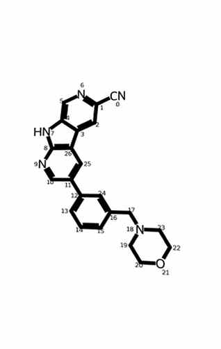 N#Cc1cc2c(cn1)[nH]c1ncc(-c3cccc(CN4CCOCC4)c3)cc12